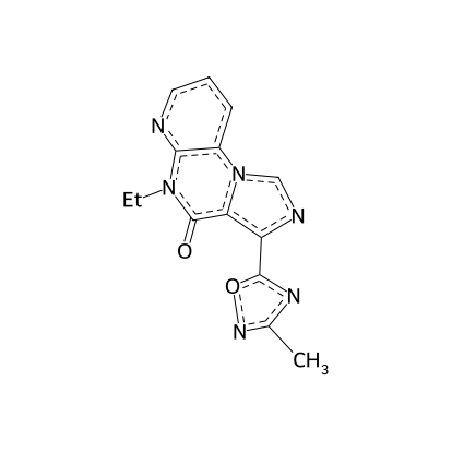 CCn1c(=O)c2c(-c3nc(C)no3)ncn2c2cccnc21